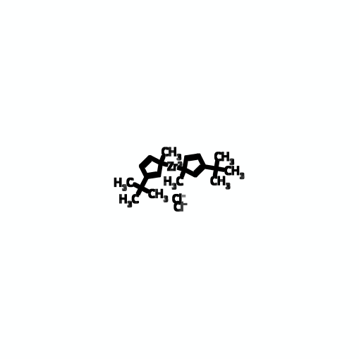 C[C]1([Zr+2][C]2(C)C=CC(C(C)(C)C)=C2)C=CC(C(C)(C)C)=C1.[Cl-].[Cl-]